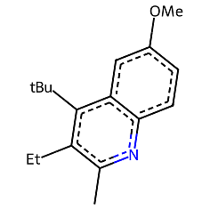 CCc1c(C)nc2ccc(OC)cc2c1C(C)(C)C